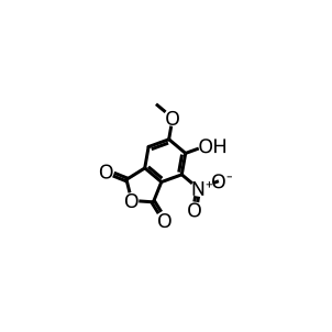 COc1cc2c(c([N+](=O)[O-])c1O)C(=O)OC2=O